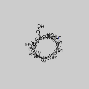 C/C=C/C[C@@H](C)[C@@H](O)[C@H]1C(=O)N[C@@H](CC)C(=O)N(C)[C@H](CSCCOCCO)C(=O)N(C)[C@@H](CC(C)(C)O)C(=O)N[C@@H](C(C)C)C(=O)N(C)[C@@H](CC(C)C)C(=O)N[C@@H](C)C(=O)N[C@H](C)C(=O)N(C)[C@@H](CC(C)C)C(=O)N(C)[C@@H](CC(C)C)C(=O)N(C)[C@@H](C(C)C)C(=O)N1C